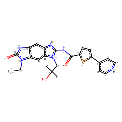 CC(C)(O)Cn1c(NC(=O)c2ccc(-c3ccncc3)s2)nc2cc3[nH]c(=O)n(CC(F)(F)F)c3cc21